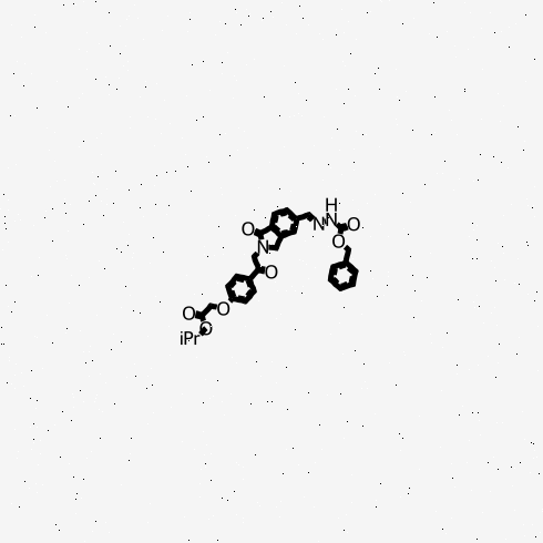 CC(C)OC(=O)COc1ccc(C(=O)CN2Cc3cc(C=NNC(=O)OCc4ccccc4)ccc3C2=O)cc1